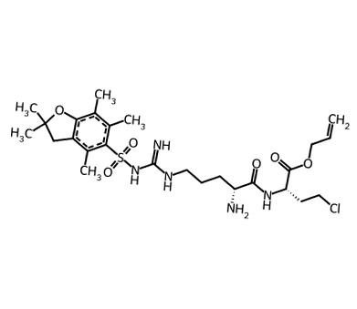 C=CCOC(=O)[C@H](CCCl)NC(=O)[C@H](N)CCCNC(=N)NS(=O)(=O)c1c(C)c(C)c2c(c1C)CC(C)(C)O2